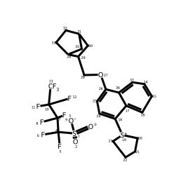 O=S(=O)([O-])C(F)(F)C(F)(F)C(F)(F)C(F)(F)F.c1ccc2c([S+]3CCCC3)ccc(OCC3CC4CCC3C4)c2c1